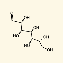 O=C[C@@H](O)[C@H](O)[C@@H](O)[C@H](O)[C@H](O)CO